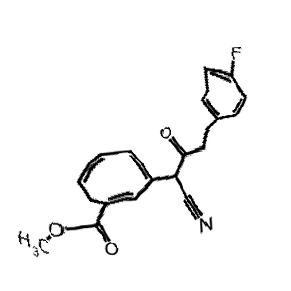 COC(=O)c1cccc(C(C#N)C(=O)Cc2ccc(F)cc2)c1